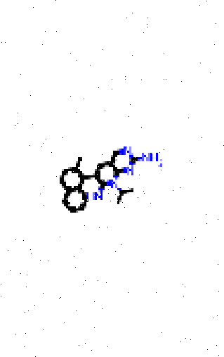 Cc1ccc2ccccc2c1-c1cc2cnc(N)nc2n(C(C)C)c1=N